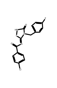 O=C(/N=c1\s[nH]c(=O)n1Cc1ccc(F)cc1)c1ccc(Cl)cc1